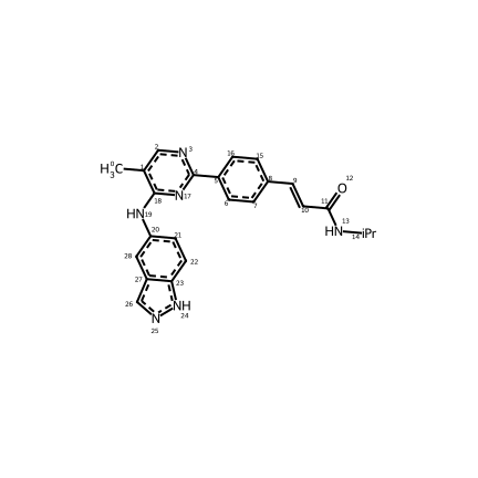 Cc1cnc(-c2ccc(C=CC(=O)NC(C)C)cc2)nc1Nc1ccc2[nH]ncc2c1